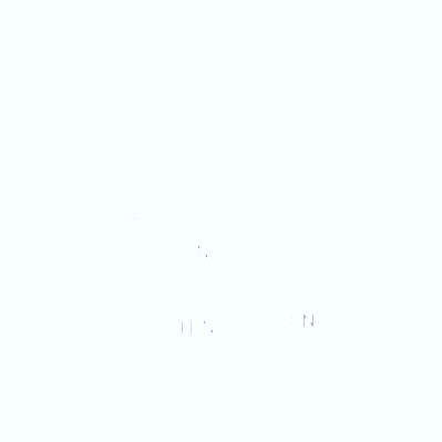 Cc1cc(C#N)c(N)nc1-c1ccccc1F